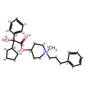 C[N+]1(CCCc2ccccc2)CCC(OC(=O)C(O)(c2ccccc2)C2CCCC2)CC1